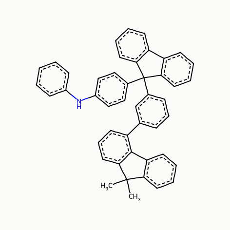 CC1(C)c2ccccc2-c2c(-c3cccc(C4(c5ccc(Nc6ccccc6)cc5)c5ccccc5-c5ccccc54)c3)cccc21